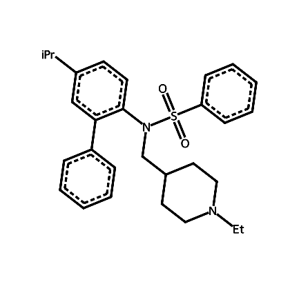 CCN1CCC(CN(c2ccc(C(C)C)cc2-c2ccccc2)S(=O)(=O)c2ccccc2)CC1